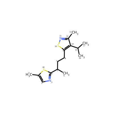 Cc1cnc(C(C)CCc2snc(C)c2C(C)C)s1